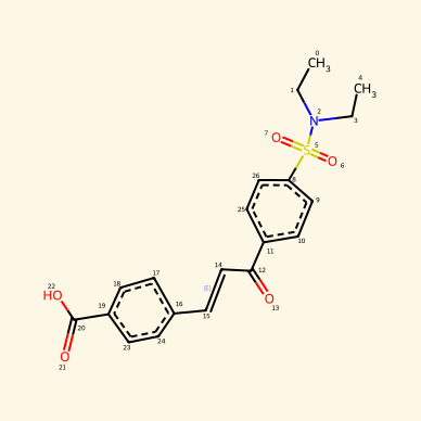 CCN(CC)S(=O)(=O)c1ccc(C(=O)/C=C/c2ccc(C(=O)O)cc2)cc1